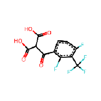 O=C(O)C(C(=O)O)C(=O)c1ccc(F)c(C(F)(F)F)c1F